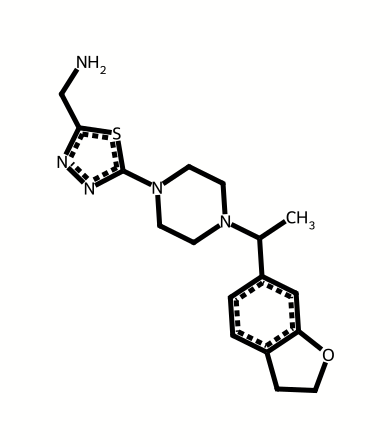 CC(c1ccc2c(c1)OCC2)N1CCN(c2nnc(CN)s2)CC1